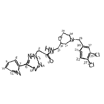 O=C(Cn1nnc(-c2ccccn2)n1)NCC1CN(Cc2ccc(Cl)c(Cl)c2)CCO1